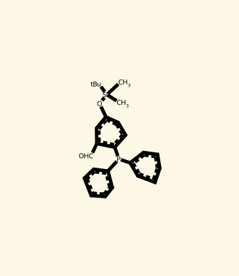 CC(C)(C)[Si](C)(C)Oc1ccc(P(c2ccccc2)c2ccccc2)c(C=O)c1